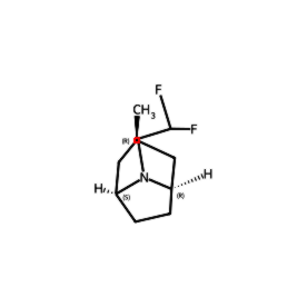 C[C@H]1C[C@H]2CC[C@@H](C1)N2CC(F)F